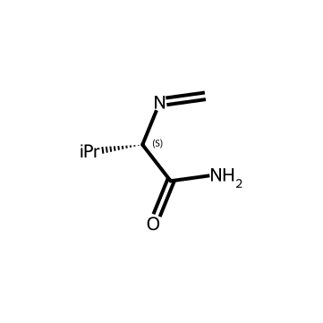 C=N[C@H](C(N)=O)C(C)C